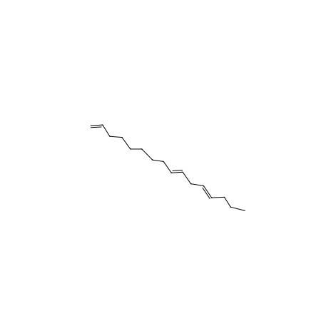 C=CCCCCCCC=CCC=CCCC